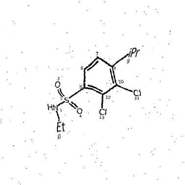 CCNS(=O)(=O)c1ccc(C(C)C)c(Cl)c1Cl